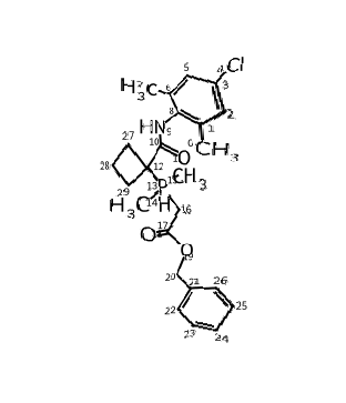 Cc1cc(Cl)cc(C)c1NC(=O)C1([PH](C)(C)CC(=O)OCc2ccccc2)CCC1